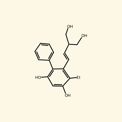 CCc1c(O)cc(O)c(-c2ccccc2)c1/C=C/C(CO)CO